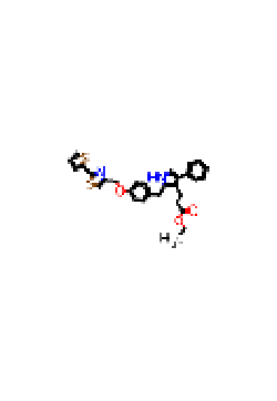 CCOC(=O)CCc1c(-c2ccccc2)c[nH]c1Cc1ccc(OCc2csc(-c3cccs3)n2)cc1